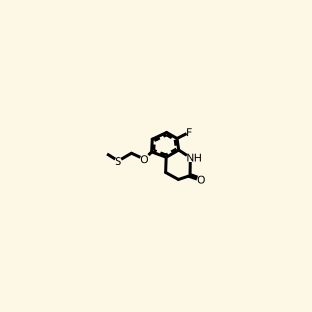 CSCOc1ccc(F)c2c1CCC(=O)N2